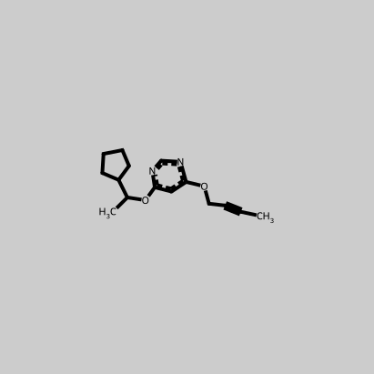 CC#CCOc1cc(OC(C)C2CCCC2)ncn1